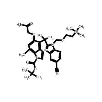 Cc1cc(OCC(N)=O)c(C(C)(O)c2nc3cc(C#N)ccc3n2COCC[Si](C)(C)C)c2ccn(C(=O)OC(C)(C)C)c12